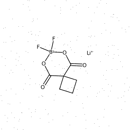 O=C1O[B-](F)(F)OC(=O)C12CCC2.[Li+]